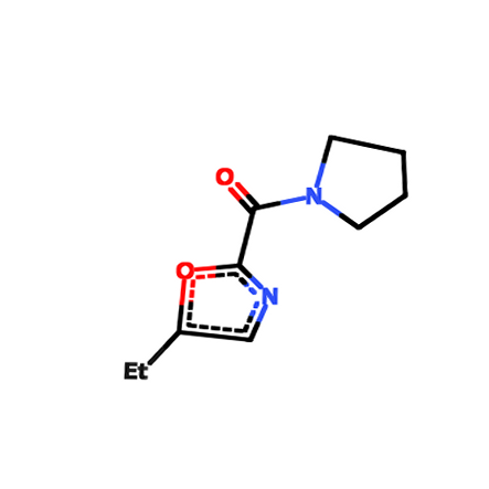 CCc1cnc(C(=O)N2CCCC2)o1